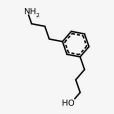 NCCCc1cccc(CCCO)c1